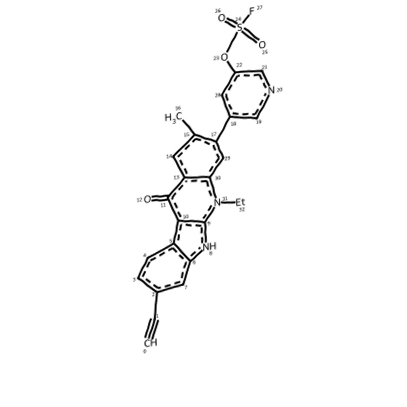 C#Cc1ccc2c(c1)[nH]c1c2c(=O)c2cc(C)c(-c3cncc(OS(=O)(=O)F)c3)cc2n1CC